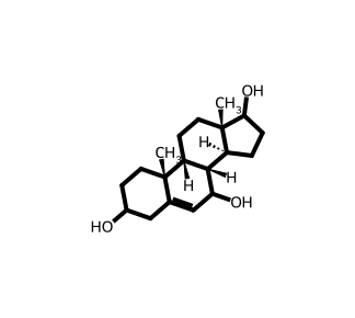 C[C@]12CCC(O)CC1=CC(O)[C@@H]1[C@H]2CC[C@]2(C)C(O)CC[C@@H]12